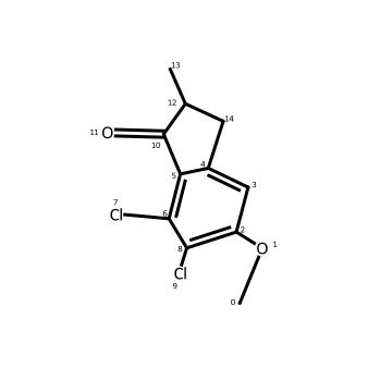 COc1cc2c(c(Cl)c1Cl)C(=O)C(C)C2